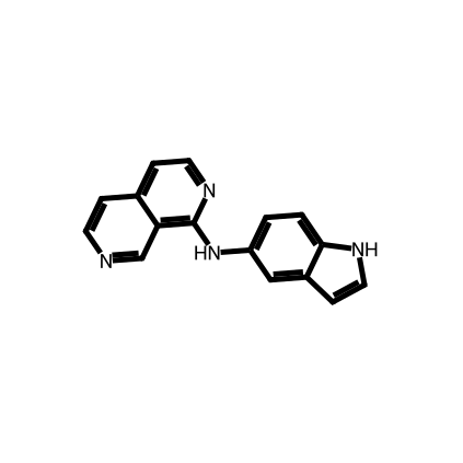 c1cc2ccnc(Nc3ccc4[nH]ccc4c3)c2cn1